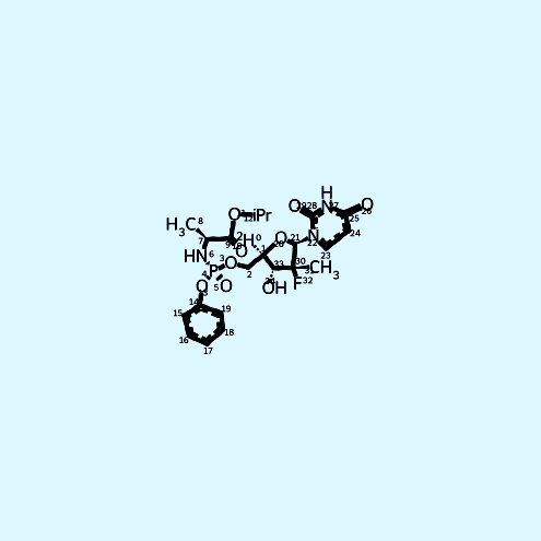 [2H][C@]1(CO[P@@](=O)(N[C@@H](C)C(=O)OC(C)C)Oc2ccccc2)O[C@@H](n2ccc(=O)[nH]c2=O)[C@](C)(F)[C@@H]1O